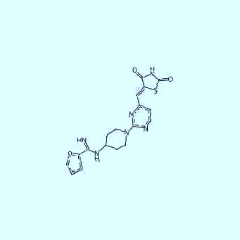 N=C(NC1CCN(c2nccc(/C=C3\SC(=O)NC3=O)n2)CC1)c1ccco1